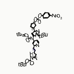 C[C@H](CC/C=C/c1cc(N(C(=O)OC(C)(C)C)c2cc([C@H]3CC[C@@H](OC(=O)Oc4ccc([N+](=O)[O-])cc4)C3)nn2C(C)(C)C)ccn1)NC(=O)OC(C)(C)C